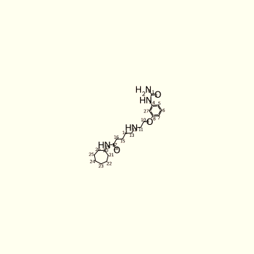 NC(=O)Nc1cccc(OCCNCCCCC(=O)NC2CCCCCC2)c1